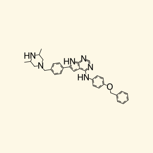 CC1CN(Cc2ccc(-c3cc4c(Nc5ccc(OCc6ccccc6)cc5)ncnc4[nH]3)cc2)CC(C)N1